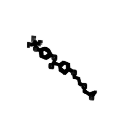 O=C(Oc1ccc(OC(F)(F)F)cc1)c1ccc(OCCCOCC2CO2)cc1